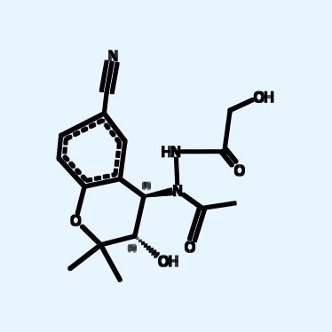 CC(=O)N(NC(=O)CO)[C@@H]1c2cc(C#N)ccc2OC(C)(C)[C@H]1O